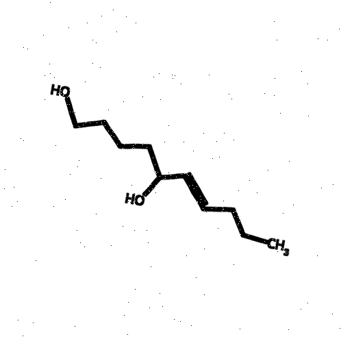 CCCC=CC(O)CCCCO